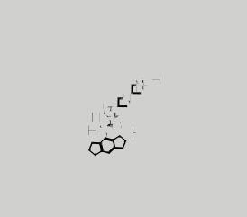 CN1CC(N2CC(S(=O)(=O)NC(=O)Nc3c4c(cc5c3CCC5)CCC4)C2)C1.[K]